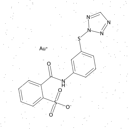 O=C(Nc1cccc(Sn2ncnn2)c1)c1ccccc1S(=O)(=O)[O-].[Au+]